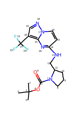 CC(C)(C)OC(=O)N1CCCC1CNc1ccn2ncc(C(F)(F)F)c2n1